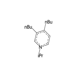 CCCCc1cc[n+](C(C)C)cc1CCCC